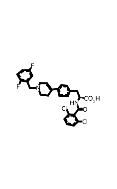 O=C(N[C@@H](Cc1ccc(C2=CCN(Cc3cc(F)ccc3F)CC2)cc1)C(=O)O)c1c(Cl)cccc1Cl